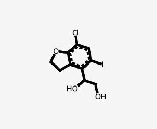 OCC(O)c1c(I)cc(Cl)c2c1CCO2